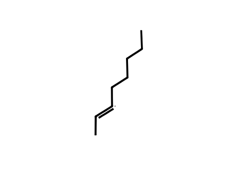 C/C=[C]/CCCCC